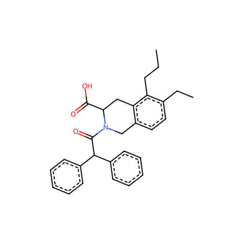 CCCc1c(CC)ccc2c1CC(C(=O)O)N(C(=O)C(c1ccccc1)c1ccccc1)C2